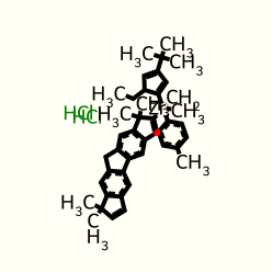 Cl.Cl.[CH2]=[Zr]([CH3])([C]1=CC(C(C)(C)C)=CC1CC)([C]1=Cc2cc3c(cc2C1(C)C)Cc1cc2c(cc1-3)C=CC2(C)C)[c]1ccc(C)cc1